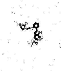 CS(=O)(=O)c1cc2cc(-c3ccccc3OCCN3CCNC3=O)[nH]c2c(=O)[nH]1